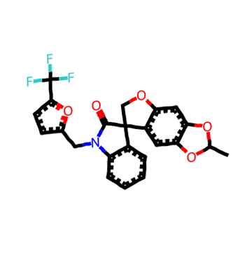 CC1Oc2cc3c(cc2O1)C1(CO3)C(=O)N(Cc2ccc(C(F)(F)F)o2)c2ccccc21